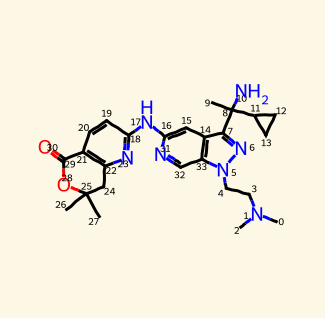 CN(C)CCn1nc(C(C)(N)C2CC2)c2cc(Nc3ccc4c(n3)CC(C)(C)OC4=O)ncc21